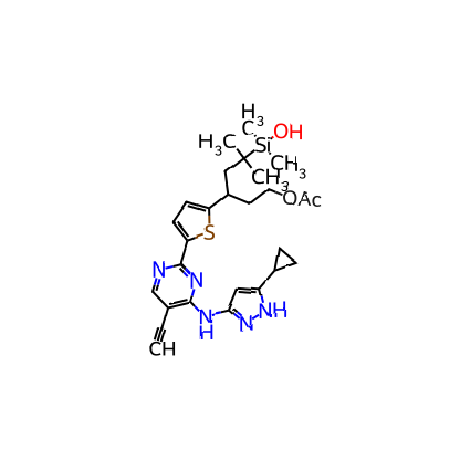 C#Cc1cnc(-c2ccc(C(CCOC(C)=O)CC(C)(C)[Si](C)(C)O)s2)nc1Nc1cc(C2CC2)[nH]n1